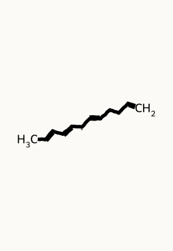 C=CCC/C=C/[CH]/C=C/C=C/C